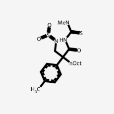 CCCCCCCCC(CN=S(=O)=O)(C(=O)NC(=S)NC)c1ccc(C)cc1